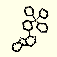 c1ccc([Si](c2ccccc2)(c2ccccc2)c2cccc(-c3nccc4c3sc3ccccc34)c2)cc1